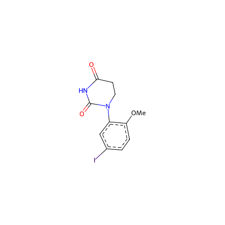 COc1ccc(I)cc1N1CCC(=O)NC1=O